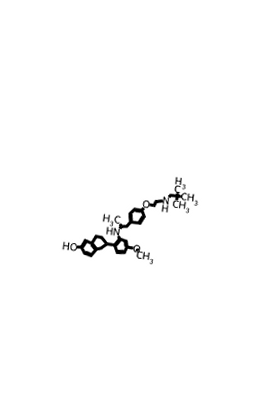 COc1ccc(C2CCc3cc(O)ccc3C2)c(NC(C)Cc2ccc(OCCNCC(C)(C)C)cc2)c1